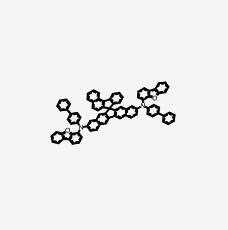 c1ccc(-c2ccc(N(c3ccc4cc5c(cc4c3)C3(c4cc6cc(N(c7ccc(-c8ccccc8)cc7)c7cccc8c7oc7ccccc78)ccc6cc4-5)c4ccccc4-c4c3ccc3ccccc43)c3cccc4c3oc3ccccc34)cc2)cc1